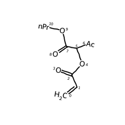 C=CC(=O)OC(C(C)=O)C(=O)OCCC